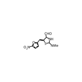 CNC1NC(C=O)C(=Cc2ccc([N+](=O)[O-])o2)S1